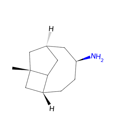 C[C@@]12C[C@@H]3CC1[C@H](CC[C@H](N)C3)C2